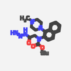 CN1CCN(c2c(N(CC(=O)NN=N)C(=O)OC(C)(C)C)ccc3ccccc23)CC1